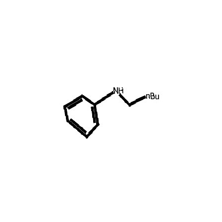 C[CH]CCCNc1ccccc1